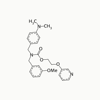 COc1cccc(CN(Cc2ccc(N(C)C)cc2)C(=O)OCCOc2cccnc2)c1